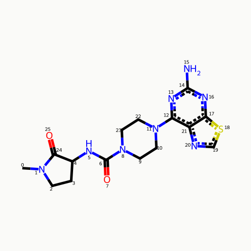 CN1CCC(NC(=O)N2CCN(c3nc(N)nc4scnc34)CC2)C1=O